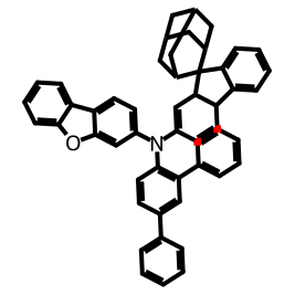 C1=CC2c3ccccc3C3(C4CC5CC(C4)CC3C5)C2C=C1N(c1ccc2c(c1)oc1ccccc12)c1ccc(-c2ccccc2)cc1-c1ccccc1